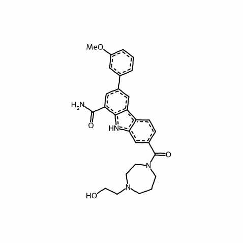 COc1cccc(-c2cc(C(N)=O)c3[nH]c4cc(C(=O)N5CCCN(CCO)CC5)ccc4c3c2)c1